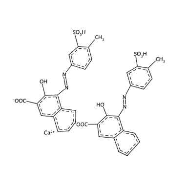 Cc1ccc(N=Nc2c(O)c(C(=O)[O-])cc3ccccc23)cc1S(=O)(=O)O.Cc1ccc(N=Nc2c(O)c(C(=O)[O-])cc3ccccc23)cc1S(=O)(=O)O.[Ca+2]